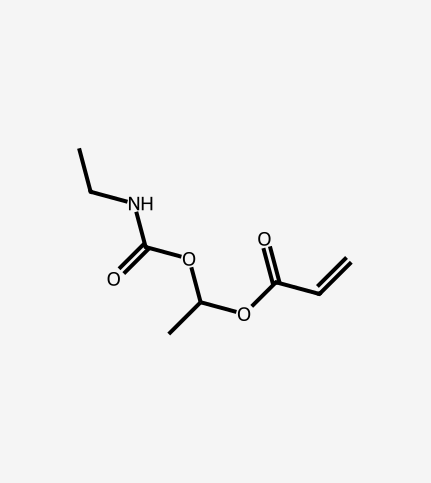 C=CC(=O)OC(C)OC(=O)NCC